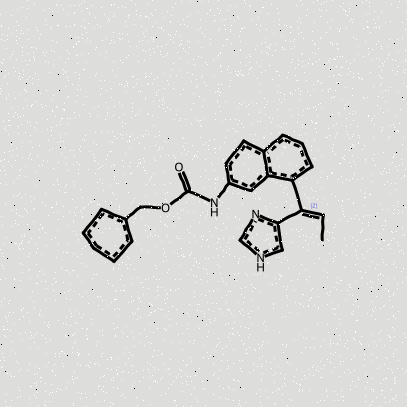 C/C=C(\c1c[nH]cn1)c1cccc2ccc(NC(=O)OCc3ccccc3)cc12